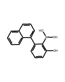 OB(O)c1c(O)cccc1-c1cccc2ccccc12